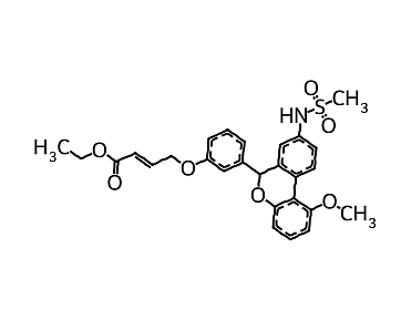 CCOC(=O)C=CCOc1cccc(C2Oc3cccc(OC)c3-c3ccc(NS(C)(=O)=O)cc32)c1